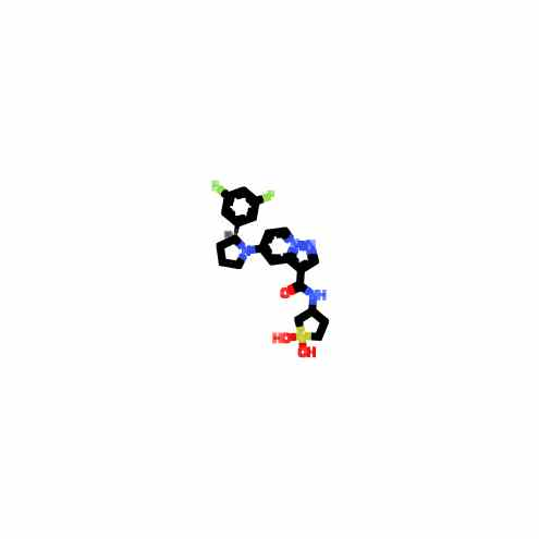 O=C(NC1CCS(O)(O)C1)c1cnn2ccc(N3CCC[C@@H]3c3cc(F)cc(F)c3)cc12